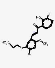 O=C(O)CCOc1cc(/C=C/C(=O)c2cccc(Cl)c2O)c(OC(F)(F)F)cc1Br